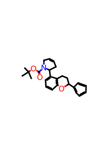 CC(C)(C)OC(=O)N1CC=CCC1c1cccc2c1CCC(c1ccccc1)O2